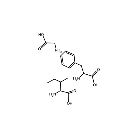 CCC(C)C(N)C(=O)O.NC(Cc1ccccc1)C(=O)O.NCC(=O)O